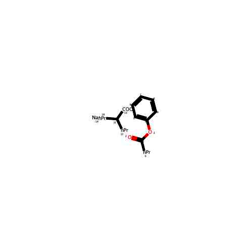 CCCC(=O)Oc1ccccc1.CCCC(CCC)C(=O)[O-].[Na+]